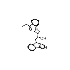 CCC(=O)c1ccccc1N1CC(C(O)CC2c3ccccc3-c3cncn32)C1